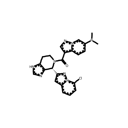 CN(C)c1ccc2c(C(=O)N3CCc4[nH]cnc4[C@H]3c3cc4cccc(Cl)n4n3)cnn2c1